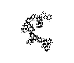 c1ccc(-c2cccc(-c3nc(-c4cccc(-c5cccc(-c6nc7ccc(-c8ccc9c(-c%10ccccc%10)nc(-c%10ccc(-c%11nc%12ccccc%12c%12c%11ccc%11ccccc%11%12)cc%10)nc9c8)cc7c7c6ccc6ccccc67)c5)c4)cc(-c4ccccn4)n3)c2)cc1